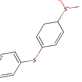 C[S+]([O-])C1C=CC(Sc2ccccc2)=CC1